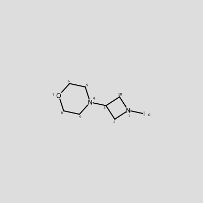 IN1CC(N2CCOCC2)C1